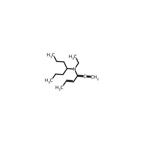 C=C=C(/C=C/C)N(CC)C(CCC)CCC